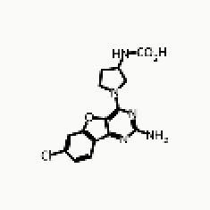 Nc1nc(N2CCC(NC(=O)O)C2)c2oc3cc(Cl)ccc3c2n1